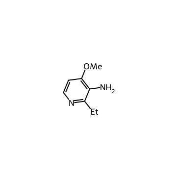 CCc1nccc(OC)c1N